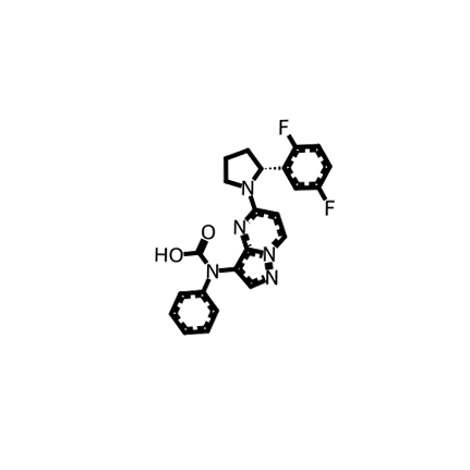 O=C(O)N(c1ccccc1)c1cnn2ccc(N3CCC[C@@H]3c3cc(F)ccc3F)nc12